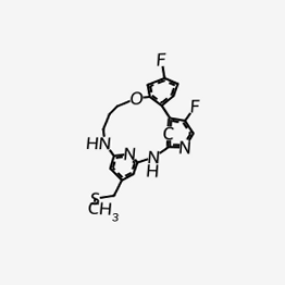 CSCc1cc2nc(c1)Nc1cc(c(F)cn1)-c1ccc(F)cc1OCCCN2